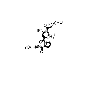 CCCCCCCCCCCNC(=O)[C@@H]1CCCN1C(=O)/C(C)=C/[C@H](C(C)C)N(C)C(=O)CNC=O